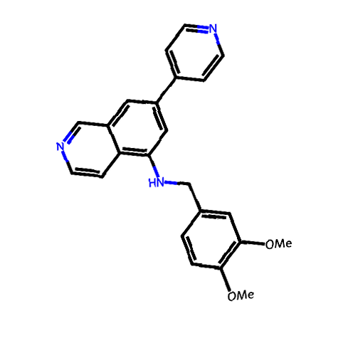 COc1ccc(CNc2cc(-c3ccncc3)cc3cnccc23)cc1OC